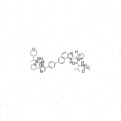 COC(=O)NC(C(=O)N1[C@@H]2CC[C@@H](C2)[C@H]1c1nc2ccc3cc(-c4ccc(-c5cnc(C6CCCN6[N+](O)(C(=O)[O-])C(C)C6CCOCC6)[nH]5)cc4)ccc3c2[nH]1)C(C)C